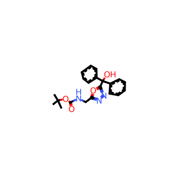 CC(C)(C)OC(=O)NCc1nnc(C(O)(c2ccccc2)c2ccccc2)o1